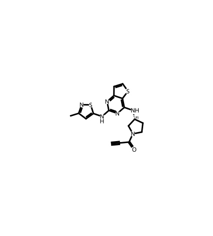 C#CC(=O)N1CC[C@@H](Nc2nc(Nc3cc(C)ns3)nc3ccsc23)C1